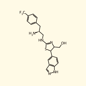 N[C@H](CNC1=NC(CO)C(c2ccc3[nH]ncc3c2)S1)Cc1ccc(C(F)(F)F)cc1